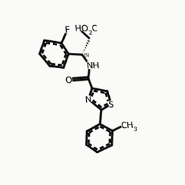 Cc1ccccc1-c1nc(C(=O)N[C@@H](CC(=O)O)c2ccccc2F)cs1